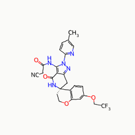 Cc1ccc(-n2nc3c(c2NC(=O)CC#N)C(=O)N[C@@]2(CCOc4cc(OCC(F)(F)F)ccc42)C3)nc1